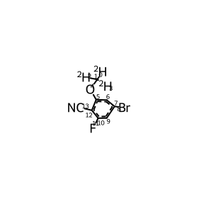 [2H]C([2H])([2H])Oc1cc(Br)cc(F)c1C#N